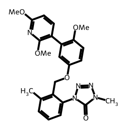 COc1ccc(-c2cc(OCc3c(C)cccc3-n3nnn(C)c3=O)ccc2OC)c(OC)n1